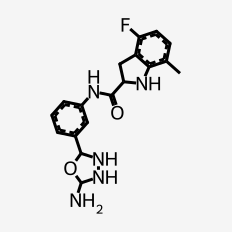 Cc1ccc(F)c2c1NC(C(=O)Nc1cccc(C3NNC(N)O3)c1)C2